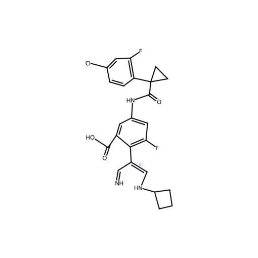 N=C/C(=C\NC1CCC1)c1c(F)cc(NC(=O)C2(c3ccc(Cl)cc3F)CC2)cc1C(=O)O